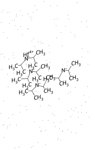 CC(C)[N-]C(C)C.CC(C)[N-]C(C)C.CC(C)[N-]C(C)C.CC(C)[N-]C(C)C.[Hf+4]